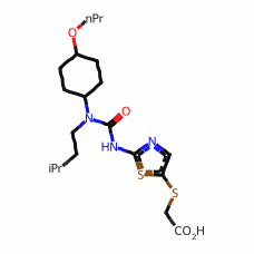 CCCOC1CCC(N(CCC(C)C)C(=O)Nc2ncc(SCC(=O)O)s2)CC1